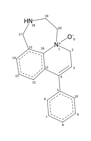 [O-][N+]12CC=C(c3ccccc3)c3cccc(c31)CNCC2